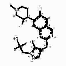 CN1CCC(c2cc3nc(Nc4cnn(CC(C)(C)O)c4Cl)ncc3cc2Cl)C(F)C1